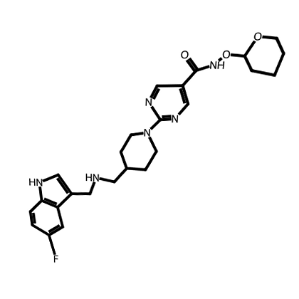 O=C(NOC1CCCCO1)c1cnc(N2CCC(CNCc3c[nH]c4ccc(F)cc34)CC2)nc1